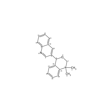 CC1(C)COC(c2cnc3ccccc3c2)c2ccccc21